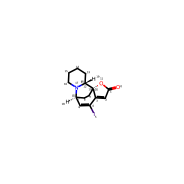 O=C1C=C2C(I)=C[C@@H]3CC[C@@]2(O1)[C@H]1CCCCN31